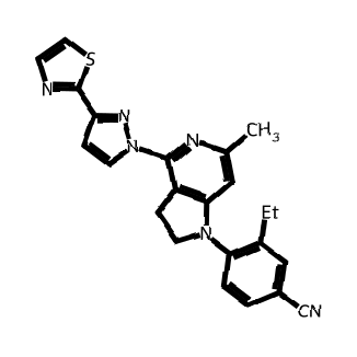 CCc1cc(C#N)ccc1N1CCc2c1cc(C)nc2-n1ccc(-c2nccs2)n1